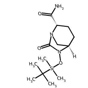 CC(C)(C)[Si](C)(C)ON1C(=O)N2C[C@H]1CC[C@H]2C(N)=O